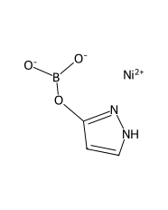 [Ni+2].[O-]B([O-])Oc1cc[nH]n1